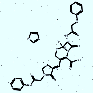 O=C(CN1CC/C(=C\C2=C(C(=O)O)N3C(=O)[C@@H](NC(=O)CSc4ccccc4)[C@H]3SC2)C1=O)Nc1ccccc1.c1c[nH]cn1